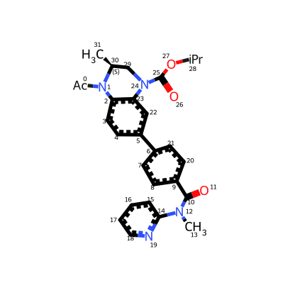 CC(=O)N1c2ccc(-c3ccc(C(=O)N(C)c4ccccn4)cc3)cc2N(C(=O)OC(C)C)C[C@@H]1C